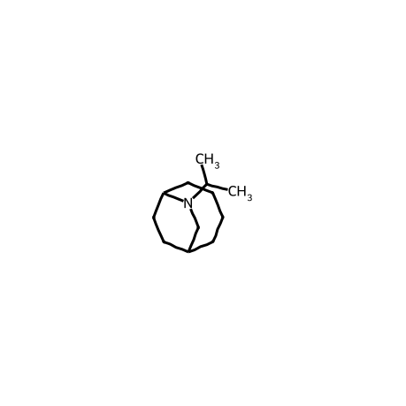 CC(C)N1CC2CCCCC1CC2